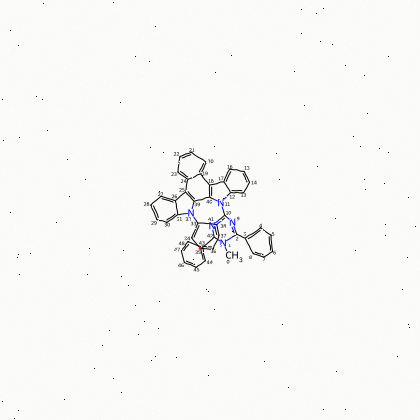 CN1C(c2ccccc2)=NC(n2c3ccccc3c3c4ccccc4c4c5ccccc5n(-c5ccccc5)c4c32)=NC1c1ccccc1